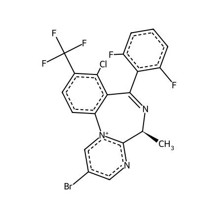 C[C@@H]1N=C(c2c(F)cccc2F)c2c(ccc(C(F)(F)F)c2Cl)-[n+]2cc(Br)cnc21